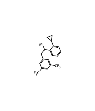 CC(C)[C](Cc1cc(C(F)(F)F)cc(C(F)(F)F)c1)c1ccccc1C1CC1